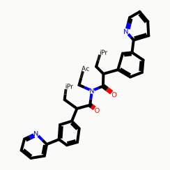 CC(=O)CN(C(=O)C(CC(C)C)c1cccc(-c2ccccn2)c1)C(=O)C(CC(C)C)c1cccc(-c2ccccn2)c1